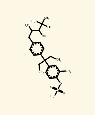 CCC(CC)(c1ccc(CC(C)C(O)C(C)(C)C)cc1)c1ccc(OS(C)(=O)=O)c(C)c1